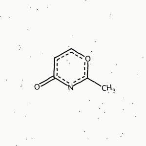 Cc1nc(=O)cco1